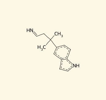 CC(C)(CC=N)c1ccc2[nH]ccc2c1